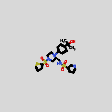 CC(C)(O)c1ccc(N2CCN(S(=O)(=O)c3cccs3)C[C@@H]2CNS(=O)(=O)c2cccnc2)cc1